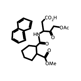 COC(=O)C1CCCCC1C(=O)NC(CC(=O)O)C(=O)COC(C)=O.c1ccc2ccccc2c1